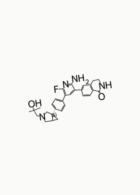 CC(C)(O)CN1CC2C[C@]2(c2ccc(-c3cc(-c4ccc5c(c4)CCNC5=O)c(N)nc3F)cc2)C1